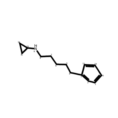 c1ccc(CCCCCNC2CC2)cc1